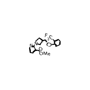 COC(=O)c1cccnc1N1CCC(COc2ccccc2C(F)(F)F)C1